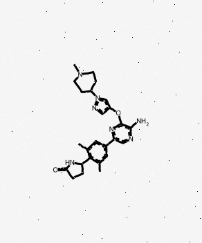 Cc1cc(-c2cnc(N)c(Oc3cnn(C4CCN(C)CC4)c3)n2)cc(C)c1C1CCC(=O)N1